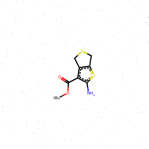 CC(C)(C)OC(=O)c1c(N)sc2c1CSC2